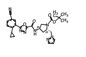 CC(C)(C)OC(=O)N1C[C@H](NC(=O)c2nnc(-c3cc(C#N)ccc3C3CC3)o2)C[C@H]1Cn1cccn1